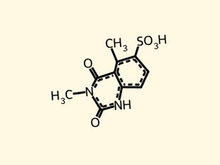 Cc1c(S(=O)(=O)O)ccc2[nH]c(=O)n(C)c(=O)c12